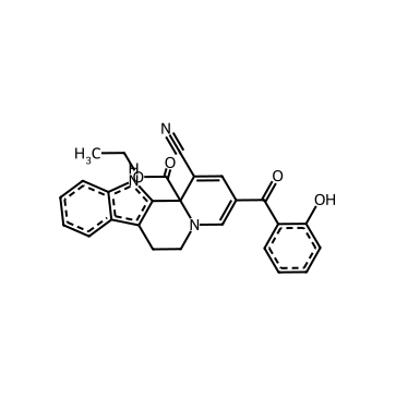 CCOC(=O)C12C(C#N)=CC(C(=O)c3ccccc3O)=CN1CCc1c2[nH]c2ccccc12